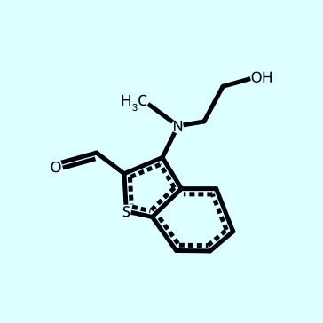 CN(CCO)c1c(C=O)sc2ccccc12